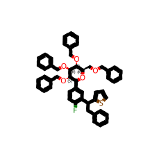 Fc1ccc(C2O[C@H](COCc3ccccc3)[C@@H](OCc3ccccc3)[C@H](OCc3ccccc3)[C@H]2OCc2ccccc2)cc1C(Cc1ccccc1)c1cccs1